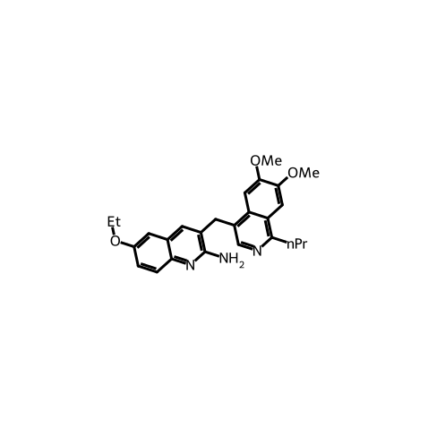 CCCc1ncc(Cc2cc3cc(OCC)ccc3nc2N)c2cc(OC)c(OC)cc12